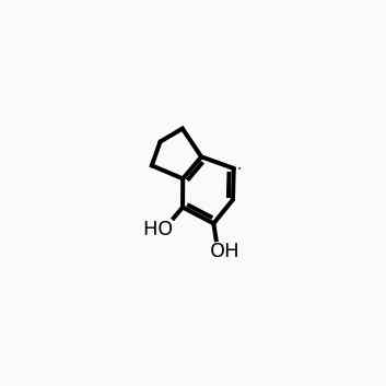 Oc1c[c]c2c(c1O)CCC2